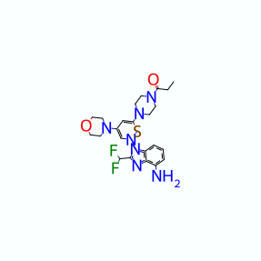 CCC(=O)N1CCN(C2=CC(N3CCOCC3)=CN(n3c(C(F)F)nc4c(N)cccc43)S2)CC1